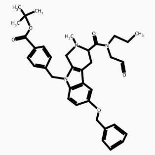 CCCN(CC=O)C(=O)C1Cc2c(n(Cc3ccc(C(=O)OC(C)(C)C)cc3)c3ccc(OCc4ccccc4)cc23)CN1C